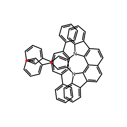 c1ccc(-c2cc(-c3ccccc3)cc(-n3c4ccccc4c4ccc5ccc6c7ccccc7n(-c7cc(-c8ccccc8)cc(-c8ccccc8)n7)c6c5c43)c2)cc1